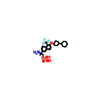 CC(N)(COP(=O)(O)O)c1ccc2c(C(F)(F)F)c(OC3CCC(C4CCCCC4)CC3)ccc2c1